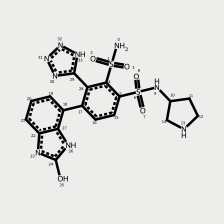 NS(=O)(=O)c1c(S(=O)(=O)NC2CCNC2)ccc(-c2cccc3nc(O)[nH]c23)c1-c1nnn[nH]1